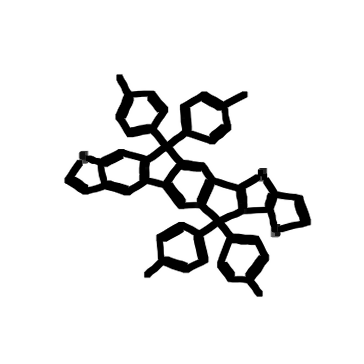 Cc1ccc(C2(c3ccc(C)cc3)c3cc4c(cc3-c3cc5ccsc5cc32)C(c2ccc(C)cc2)(c2ccc(C)cc2)c2c-4sc3ccsc23)cc1